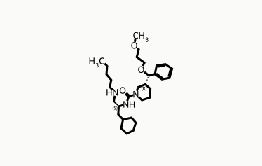 CCCCCNC[C@H](CC1CCCCC1)NC(=O)N1CCC[C@@H](C(OCCCOC)c2ccccc2)C1